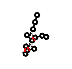 c1ccc(-c2ccc(-c3ccc(N(c4cccc(-c5ccc6ccccc6c5)c4)c4ccccc4-c4cccc(N(c5ccccc5-c5ccccc5)c5cccc6c5sc5ccccc56)c4)cc3)cc2)cc1